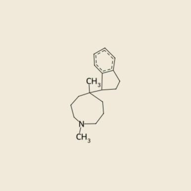 CN1CCCC(C)(C2CCc3ccccc32)CCC1